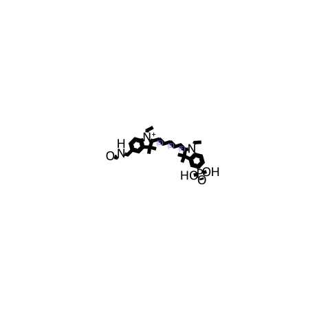 CCN1/C(=C/C=C/C=C/C2=[N+](CC)c3ccc(CNC=O)cc3C2(C)C)C(C)(C)c2cc(P(=O)(O)O)ccc21